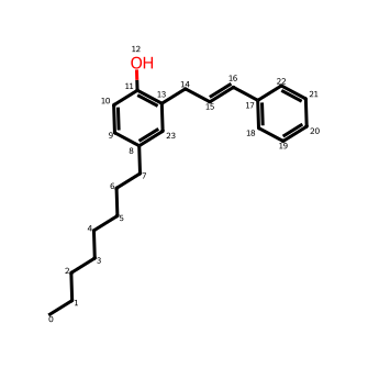 CCCCCCCCc1ccc(O)c(CC=Cc2ccccc2)c1